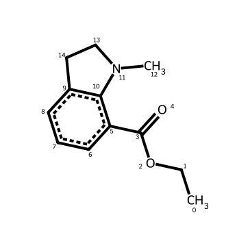 CCOC(=O)c1cccc2c1N(C)CC2